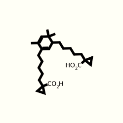 CC1=CC(C)(C)C(CCCCCC2(C(=O)O)CC2)C=C1CCCCCC1(C(=O)O)CC1